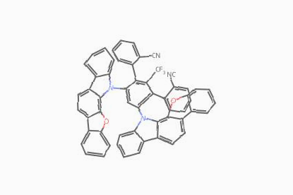 N#Cc1ccccc1-c1c(-n2c3ccccc3c3ccc4c5ccccc5oc4c32)cc(-n2c3ccccc3c3ccc4c5ccccc5oc4c32)c(-c2ccccc2C#N)c1C(F)(F)F